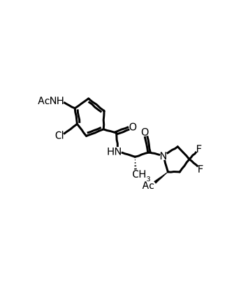 CC(=O)Nc1ccc(C(=O)N[C@@H](C)C(=O)N2CC(F)(F)C[C@H]2C(C)=O)cc1Cl